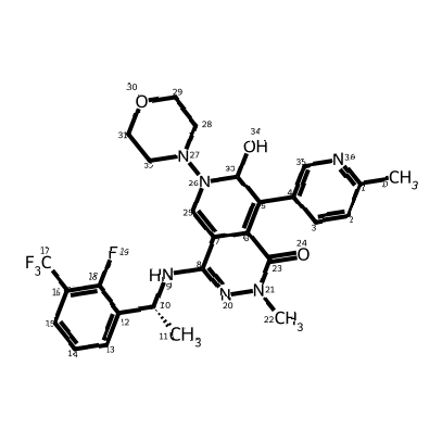 Cc1ccc(C2=c3c(c(N[C@H](C)c4cccc(C(F)(F)F)c4F)nn(C)c3=O)=CN(N3CCOCC3)C2O)cn1